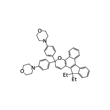 CCC1(CC)c2ccccc2-c2c1c1c(c3ccccc23)OC(c2ccc(N3CCOCC3)cc2)(c2ccc(N3CCOCC3)cc2)C=C1